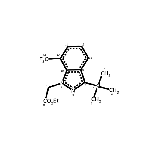 CCOC(=O)Cn1nc([Si](C)(C)C)c2cccc(C(F)(F)F)c21